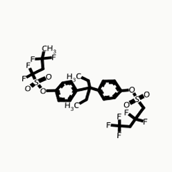 CCC(CC)(c1ccc(OS(=O)(=O)CC(F)(F)CC(F)(F)F)cc1)c1ccc(OS(=O)(=O)C(F)(F)CC(C)(F)F)cc1